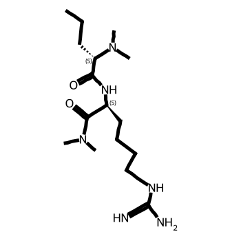 CCC[C@@H](C(=O)N[C@@H](CCCCNC(=N)N)C(=O)N(C)C)N(C)C